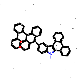 c1ccc(-c2ccccc2-c2c3ccccc3c(-c3ccc4[nH]c5c6ccccc6c6ccccc6c5c4c3)c3ccccc23)cc1